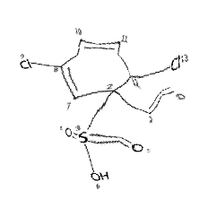 C=CC1(S(=O)(=O)O)C=C(Cl)C=CC1Cl